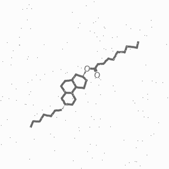 CCCCCCCCCC(=O)O[C@H]1CCC2C(CCC3C[C@@H](CCCCCCC)CCC32)C1